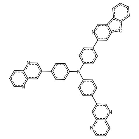 c1cnc2cc(-c3ccc(N(c4ccc(-c5cnc6cccnc6c5)cc4)c4ccc(-c5cc6oc7ccccc7c6cn5)cc4)cc3)cnc2c1